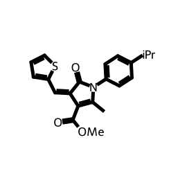 COC(=O)C1=C(C)N(c2ccc(C(C)C)cc2)C(=O)/C1=C\c1cccs1